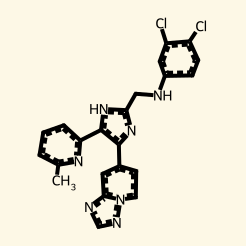 Cc1cccc(-c2[nH]c(CNc3ccc(Cl)c(Cl)c3)nc2-c2ccn3ncnc3c2)n1